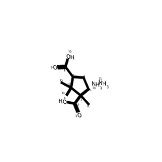 CC1(C(=O)O)CCC(C(=O)O)C1(C)C.N.N